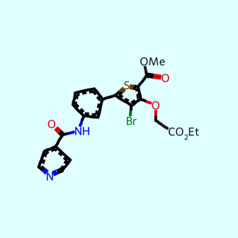 CCOC(=O)COc1c(C(=O)OC)sc(-c2cccc(NC(=O)c3ccncc3)c2)c1Br